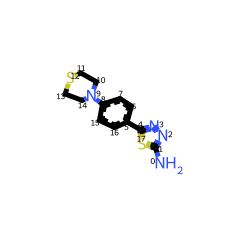 Nc1nnc(-c2ccc(N3CCSCC3)cc2)s1